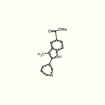 COC(=O)c1ccc2[nH]c(-c3cccnc3)c(C)c2c1